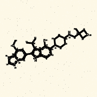 COc1cc(-c2[nH]c3cnc(N4CCC(NCC5(C)COC5)CC4)c(F)c3c2C(C)C)cn2ncnc12